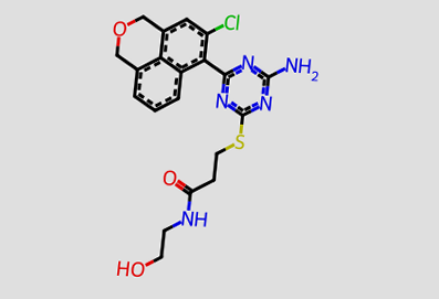 Nc1nc(SCCC(=O)NCCO)nc(-c2c(Cl)cc3c4c(cccc24)COC3)n1